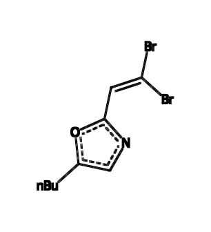 CCCCc1cnc(C=C(Br)Br)o1